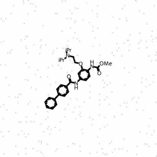 COC(=O)Nc1ccc(NC(=O)c2ccc(-c3ccccc3)cc2)cc1OCCN(C(C)C)C(C)C